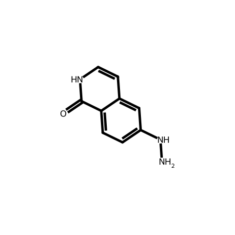 NNc1ccc2c(=O)[nH]ccc2c1